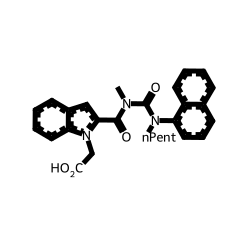 CCCCCN(C(=O)N(C)C(=O)c1cc2ccccc2n1CC(=O)O)c1cccc2ccccc12